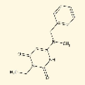 CCn1c(=O)cc(N(C)Cc2ccccc2)[nH]c1=O